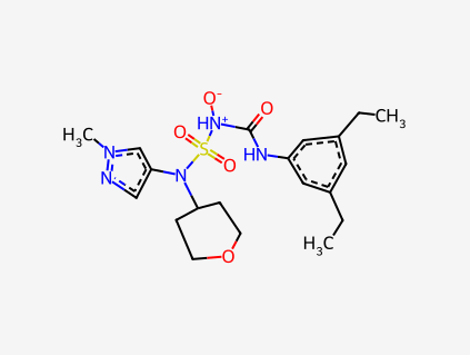 CCc1cc(CC)cc(NC(=O)[NH+]([O-])S(=O)(=O)N(c2cnn(C)c2)C2CCOCC2)c1